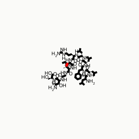 CC[C@H](C)C(NC(=O)[C@@H](CCCNC(=N)N)NC(=O)[C@H](CC(C)C)NC(=O)[C@H](CC(C)C)NC(=O)C(CC1CCCCC1)NC(=O)[C@H](CC(C)C)NC(=O)[C@H](N)CC(C)C)C(=O)N[C@H](C(=O)NCC(=O)N[C@H](C(=O)N[C@@H](CO)C(=O)O)[C@H](O)C(N)=O)[C@H](C)O